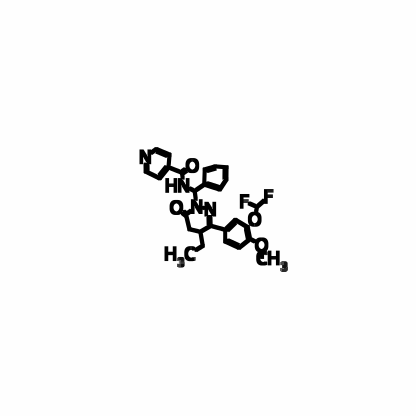 CCC1CC(=O)N(C(NC(=O)c2ccncc2)c2ccccc2)N=C1c1ccc(OC)c(OC(F)F)c1